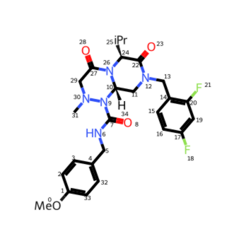 COc1ccc(CNC(=O)N2[C@H]3CN(Cc4ccc(F)cc4F)C(=O)[C@H](C(C)C)N3C(=O)CN2C)cc1